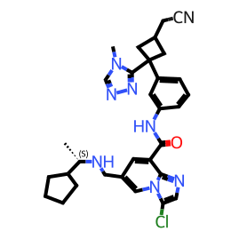 C[C@H](NCc1cc(C(=O)Nc2cccc(C3(c4nncn4C)CC(CC#N)C3)c2)c2ncc(Cl)n2c1)C1CCCC1